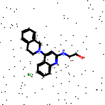 Cl.OCCNc1cc(N2CCc3ccccc3C2)c2ccccc2n1